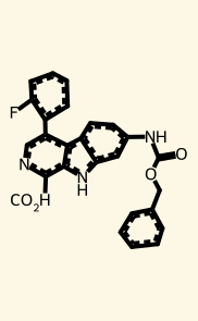 O=C(Nc1ccc2c(c1)[nH]c1c(C(=O)O)ncc(-c3ccccc3F)c12)OCc1ccccc1